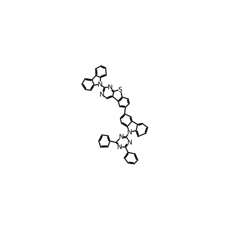 c1ccc(-c2nc(-c3ccccc3)nc(-n3c4ccccc4c4cc(-c5ccc6sc7nc(-n8c9ccccc9c9ccccc98)ncc7c6c5)ccc43)n2)cc1